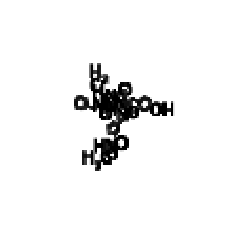 C=CCN1CC(=O)N2[C@@H](Cc3ccc(O)cc3)C(=O)N(Cc3cccc(C(=O)NOC)c3)C[C@@H]2N1C(=O)NCc1ccccc1